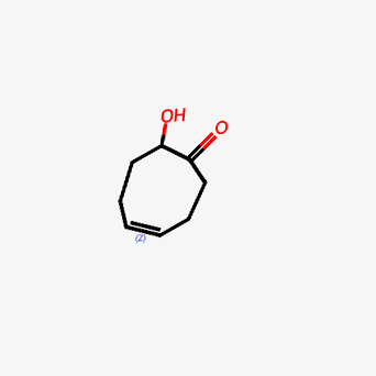 O=C1CC/C=C\CCC1O